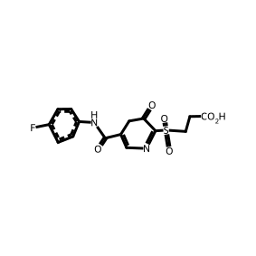 O=C(O)CCS(=O)(=O)C1=NC=C(C(=O)Nc2ccc(F)cc2)CC1=O